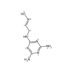 Nc1nc(N)nc(NCC=NO)n1